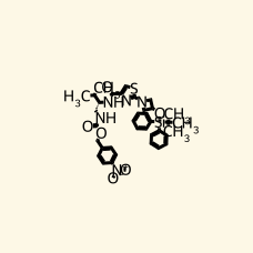 CC(C)[C@@H](CNC(=O)OCc1ccc([N+](=O)[O-])cc1)NC(=O)c1csc(N2CC(O[Si](c3ccccc3)(c3ccccc3)C(C)(C)C)C2)n1